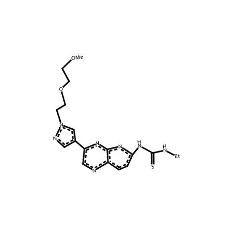 CCNC(=S)Nc1ccc2ncc(-c3cnn(CCOCCOC)c3)nc2n1